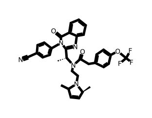 CC1C=C[C@H](C)N1CCN(C(=O)Cc1ccc(OC(F)(F)F)cc1)[C@H](C)c1nc2ccccc2c(=O)n1-c1ccc(C#N)cc1